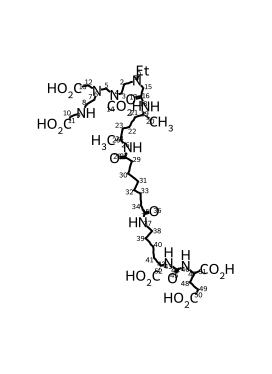 CCN(CCN(CN(CCNCC(=O)O)CC(=O)O)C(=O)O)CC(=O)N[C@@H](C)CCC[C@@H](C)NC(=O)CCCCCCC(=O)NCCCC[C@H](NC(=O)NC(CCC(=O)O)C(=O)O)C(=O)O